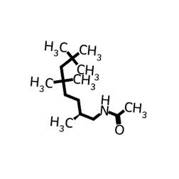 CC(=O)NC[C@@H](C)CCC(C)(C)CC(C)(C)C